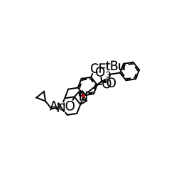 CC(=O)OC12CCN(C(=O)OC(C)(C)C)CCC13CCN(CC1CC1)C2Cc1cc(C(F)(F)F)c(OCc2ccccc2)cc13